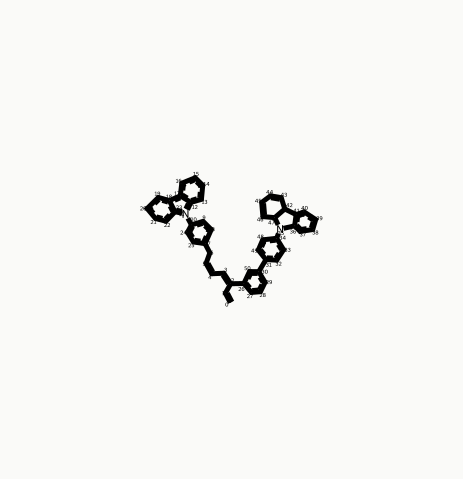 C=C/C(=C\C=C/Cc1ccc(-n2c3ccccc3c3ccccc32)cc1)c1cccc(-c2ccc(N3c4ccccc4C4C=CC=CC43)cc2)c1